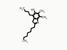 CCCCCCCC1=Nc2c(C)c(C)c(S)c(CCCC)c2C1